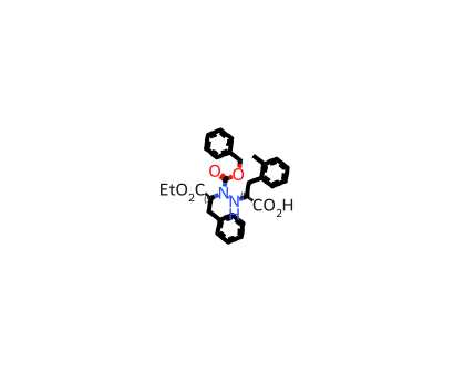 CCOC(=O)[C@H](Cc1ccccc1)N(N[C@@H](Cc1ccccc1C)C(=O)O)C(=O)OCc1ccccc1